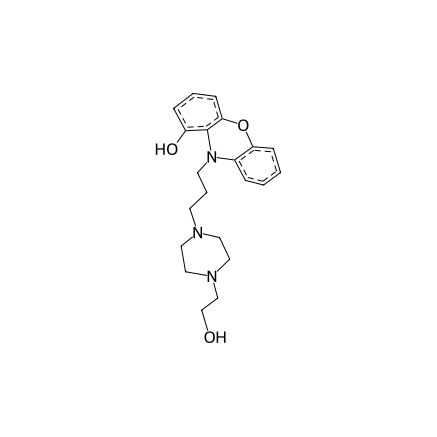 OCCN1CCN(CCCN2c3ccccc3Oc3cccc(O)c32)CC1